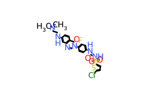 CN(C)CCNc1ccc2c(=O)n(-c3ccc(NC(=O)NS(=O)(=O)c4ccc(Cl)s4)cc3F)cnc2c1